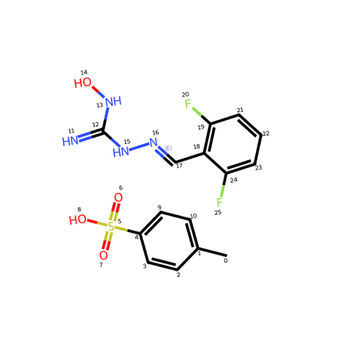 Cc1ccc(S(=O)(=O)O)cc1.N=C(NO)N/N=C/c1c(F)cccc1F